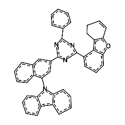 C1=Cc2oc3cccc(-c4nc(-c5ccccc5)nc(-c5cc(-n6c7ccccc7c7ccccc76)c6ccccc6c5)n4)c3c2CC1